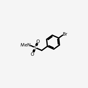 CNS(=O)(=O)Cc1ccc(Br)cc1